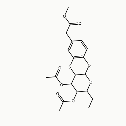 CCC1OC2Oc3ccc(CC(=O)OC)cc3SC2C(OC(C)=O)C1OC(C)=O